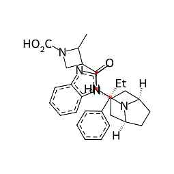 CC[C@@](NC(=O)C1CN(C(=O)O)C1C)(c1ccccc1)N1[C@@H]2CC[C@H]1C[C@H](n1c(C)nc3ccccc31)C2